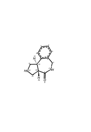 O=C1NCc2ccccc2[C@@H]2CNC[C@@H]12